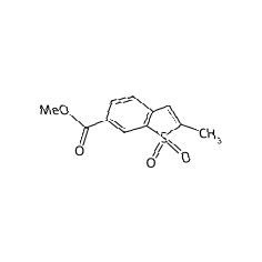 COC(=O)c1ccc2c(c1)S(=O)(=O)C(C)=C2